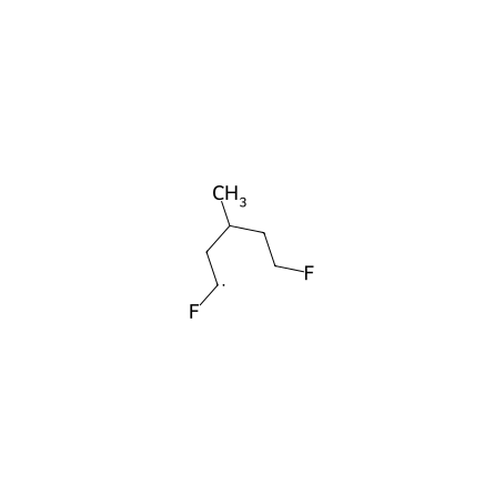 CC(C[CH]F)CCF